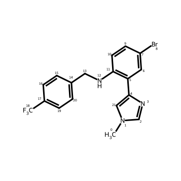 Cn1cnc(-c2cc(Br)ccc2NCc2ccc(C(F)(F)F)cc2)c1